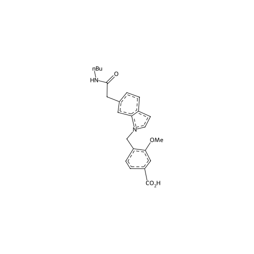 CCCCNC(=O)Cc1ccc2ccn(Cc3ccc(C(=O)O)cc3OC)c2c1